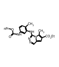 CCCOC(=O)Nc1ccc(C)c(Nc2nncc3cc(C(=O)OCC)c(C)n23)c1